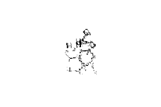 CCc1cccc(C)c1CC.N[SH](=O)=O